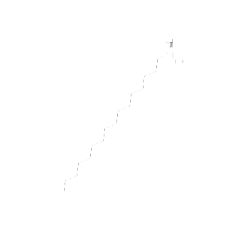 CCCCCCCCCCCCCCCC[SiH](C)[O]